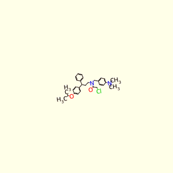 CC(C)Oc1ccc(C(CCN(Cc2ccc(N(C)C)cc2)C(=O)CCl)c2ccccc2)cc1